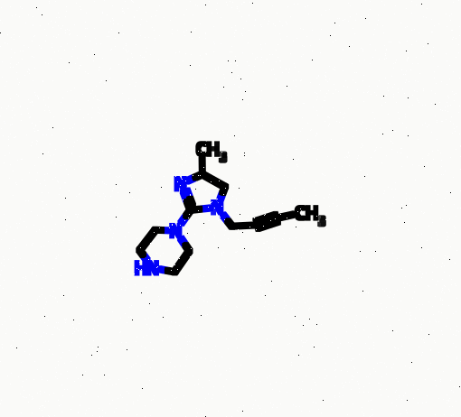 CC#CCN1CC(C)N=C1N1CCNCC1